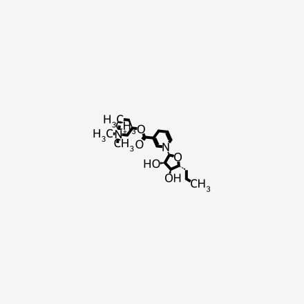 CCC[C@H]1O[C@@H](N2C=CCC(C(=O)O[C@H](CC)C[N+](C)(C)C)=C2)[C@H](O)[C@@H]1O